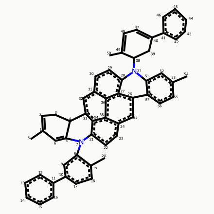 CC1=CCC2C(=C1)N(c1cc(-c3ccccc3)ccc1C)c1ccc3cc4c5c(ccc6cc2c1c3c65)N(C1CC(c2ccccc2)=CC=C1C)c1cc(C)ccc1-4